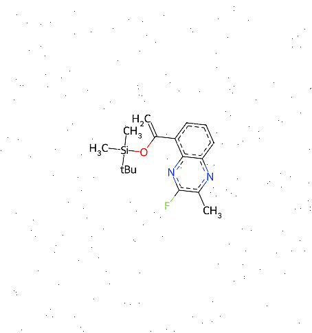 C=C(O[Si](C)(C)C(C)(C)C)c1cccc2nc(C)c(F)nc12